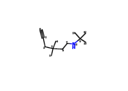 C#CCC(C)(C)CCNC(C)(C)C